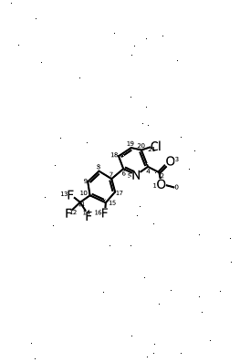 COC(=O)c1nc(-c2ccc(C(F)(F)F)c(F)c2)ccc1Cl